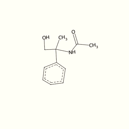 CC(=O)NC(C)(CO)c1ccccc1